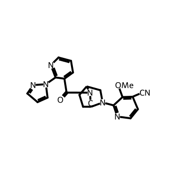 COc1c(C#N)ccnc1N1CC2CCC1CN2C(=O)c1cccnc1-n1cccn1